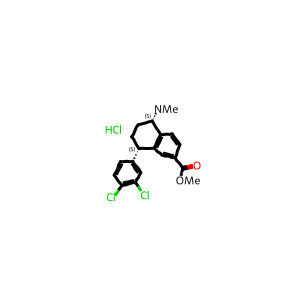 CN[C@H]1CC[C@@H](c2ccc(Cl)c(Cl)c2)c2cc(C(=O)OC)ccc21.Cl